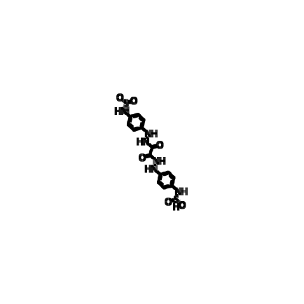 O=C(NNc1ccc(N[SH](=O)=O)cc1)C(=O)NNc1ccc(N[SH](=O)=O)cc1